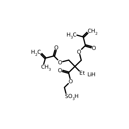 C=C(C)C(=O)OCC(CC)(COC(=O)C(=C)C)C(=O)OCS(=O)(=O)O.[LiH]